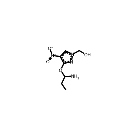 CCC(N)Oc1nn(CO)cc1[N+](=O)[O-]